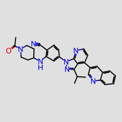 CC(=O)N1CCC(Nc2cc(-n3nc(C(C)C)c4c(-c5cnc6ccccc6c5)ccnc43)ccc2C#N)CC1